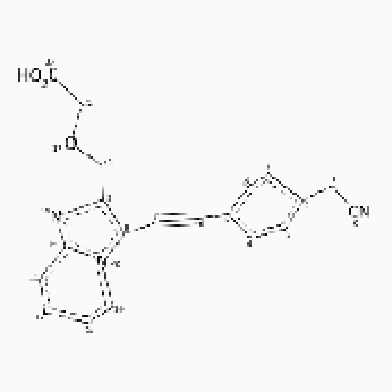 N#CCc1ccc(C#Cc2c(COCC(=O)O)nc3ccccn23)cc1